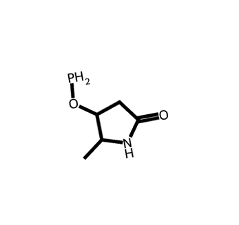 CC1NC(=O)CC1OP